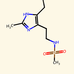 Cc1nc(CCNS(C)(=O)=O)c(CC(C)C)[nH]1